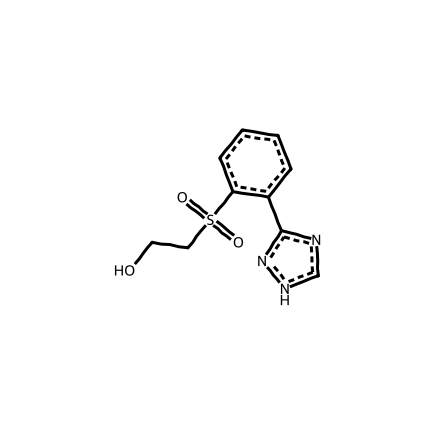 O=S(=O)(CCO)c1ccccc1-c1nc[nH]n1